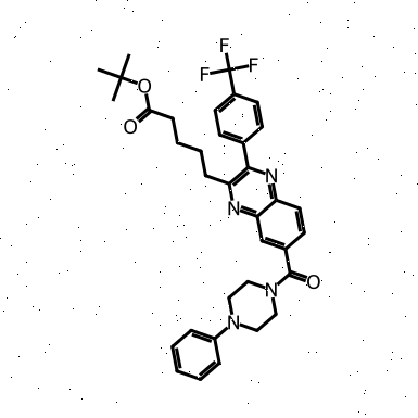 CC(C)(C)OC(=O)CCCCc1nc2cc(C(=O)N3CCN(c4ccccc4)CC3)ccc2nc1-c1ccc(C(F)(F)F)cc1